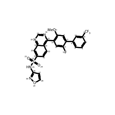 COc1cc(-c2cccc(C(F)(F)F)c2)c(F)cc1-c1ncnc2cc(S(=O)(=O)Nc3ccon3)ccc12